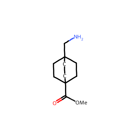 COC(=O)C12CCC(CN)(CC1)CC2